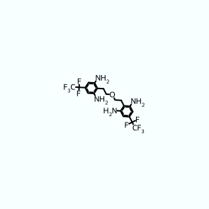 Nc1cc(C(F)(F)C(F)(F)F)cc(N)c1CCOCCc1c(N)cc(C(F)(F)C(F)(F)F)cc1N